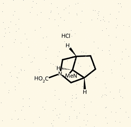 CN[C@@H]1[C@@H]2CC[C@H]1CN(C(=O)O)C2.Cl